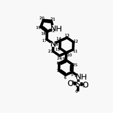 CS(=O)(=O)Nc1cccc(C23CCCC(C2)N(Cc2ccc[nH]2)CC3)c1